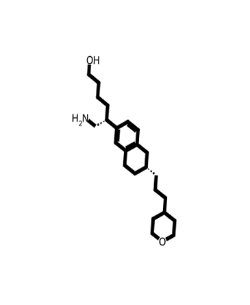 NC[C@H](CCCCO)c1ccc2c(c1)CC[C@@H](CCCC1CCOCC1)C2